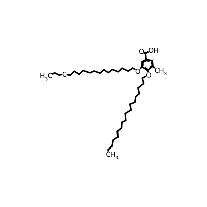 CCCCCCCCCCCCCCCCCCOc1cc(C(=O)O)cc(C)c1OCCCCCCCCCCCCCCCCCC